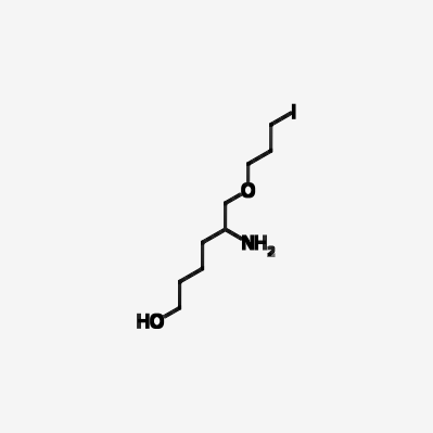 NC(CCCCO)COCCCI